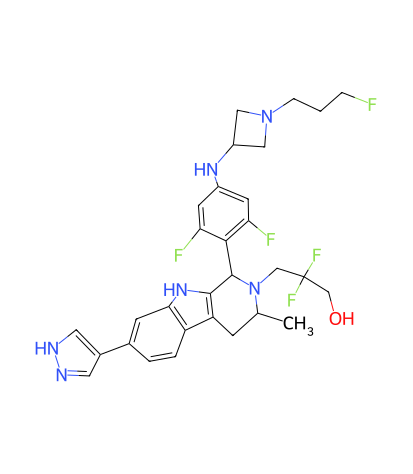 CC1Cc2c([nH]c3cc(-c4cn[nH]c4)ccc23)C(c2c(F)cc(NC3CN(CCCF)C3)cc2F)N1CC(F)(F)CO